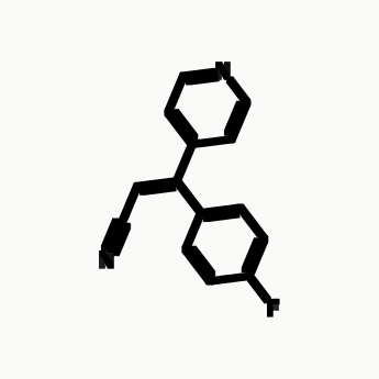 N#CC=C(c1ccncc1)c1ccc(F)cc1